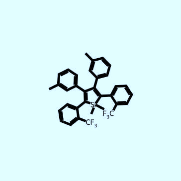 Cc1cccc(C2=C(c3ccccc3C(F)(F)F)[Si](C)(C)C(c3ccccc3C(F)(F)F)=C2c2cccc(C)c2)c1